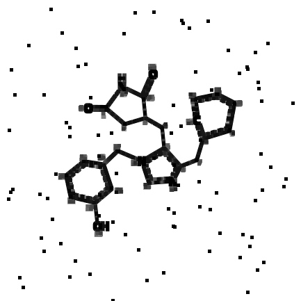 O=C1CC(Cc2c(Cc3ccccc3)ncn2Cc2cccc(O)c2)C(=O)N1